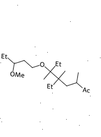 CCC(CCOC(C)(CC)C(C)(CC)CC(C)C(C)=O)OC